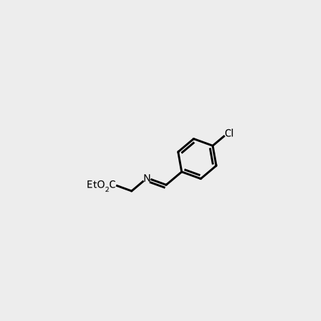 CCOC(=O)C/N=C/c1ccc(Cl)cc1